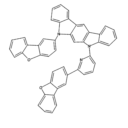 c1cc(-c2ccc3oc4ccccc4c3c2)nc(-n2c3ccccc3c3cc4c5ccccc5n(-c5ccc6oc7ccccc7c6c5)c4cc32)c1